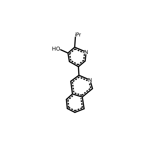 CC(C)c1ncc(-c2cc3ccccc3cn2)cc1O